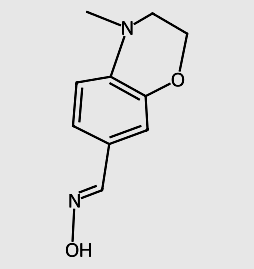 CN1CCOc2cc(C=NO)ccc21